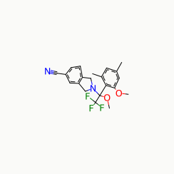 COc1cc(C)cc(C)c1C(OC)(N1Cc2ccc(C#N)cc2C1)C(F)(F)F